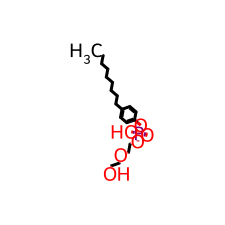 CCCCCCCCCc1ccc(OP(=O)(O)OCCOCCO)cc1